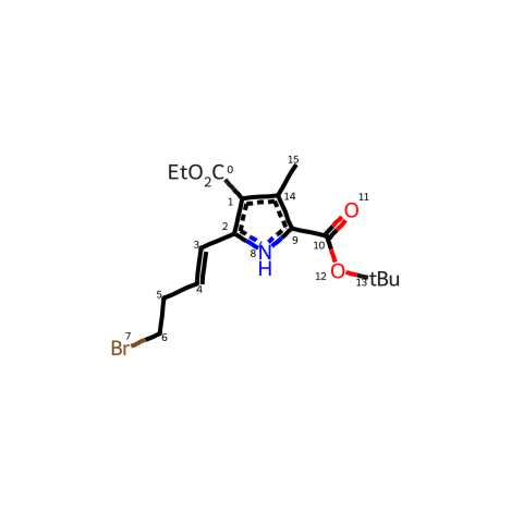 CCOC(=O)c1c(/C=C/CCBr)[nH]c(C(=O)OC(C)(C)C)c1C